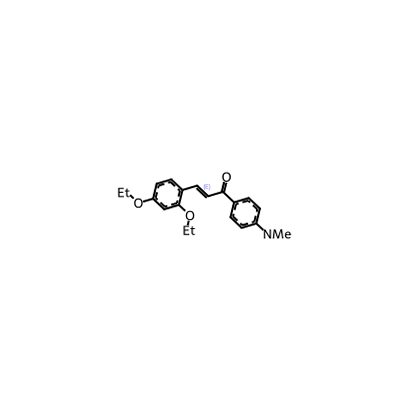 CCOc1ccc(/C=C/C(=O)c2ccc(NC)cc2)c(OCC)c1